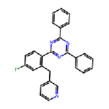 Fc1ccc(-c2nc(-c3ccccc3)nc(-c3ccccc3)n2)c(Cc2cccnc2)c1